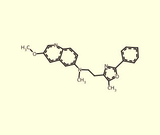 COc1[c]nc2ccc(N(C)CCc3nc(-c4ccccc4)oc3C)cc2c1